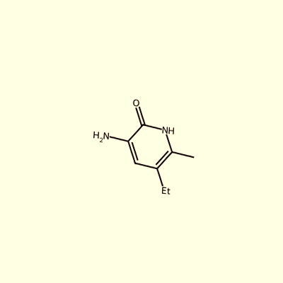 CCc1cc(N)c(=O)[nH]c1C